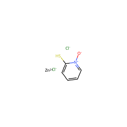 [Cl-].[Cl-].[O-][n+]1ccccc1S.[Zn+2]